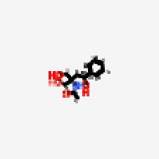 CC(=O)NC(CO)(CO)CC(O)c1ccccc1